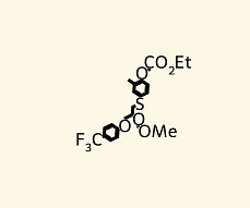 CCOC(=O)COc1ccc(SCC(COc2ccc(C(F)(F)F)cc2)OCOC)cc1C